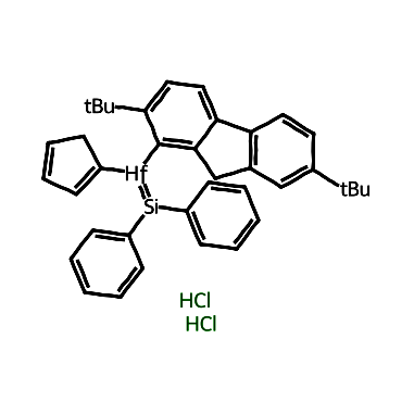 CC(C)(C)c1ccc2c(c1)Cc1c-2ccc(C(C)(C)C)[c]1[Hf]([C]1=CC=CC1)=[Si](c1ccccc1)c1ccccc1.Cl.Cl